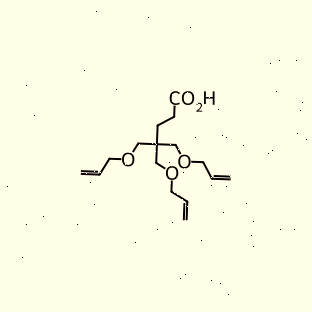 C=CCOCC(CCC(=O)O)(COCC=C)COCC=C